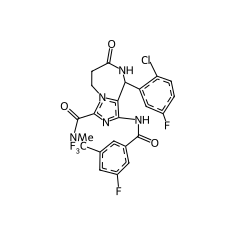 CNC(=O)c1nc(NC(=O)c2cc(F)cc(C(F)(F)F)c2)c2n1CCC(=O)NC2c1cc(F)ccc1Cl